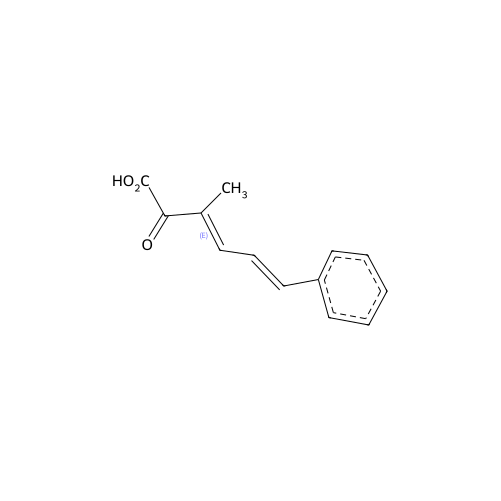 C/C(=C\C=Cc1ccccc1)C(=O)C(=O)O